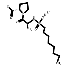 CCCCCCCCP(=O)([O-])N[C@@H](C)C(=O)N1CCC[C@H]1C(=O)[O-].[Li+].[Li+]